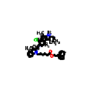 C/C=C\C1=C(C)C(C)(C)C(C(C)CC2=C(Cl)/C(=C/C=C3/N(CCCCCC(=O)OCCC45CC6CC(CC(C6)C4)C5)c4ccccc4C3(C)C)CCC2)=[N+]1CC